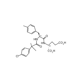 Cc1ccc(C[C@H](NC(=O)C(C)(C)c2ccc(Cl)cc2)C(=O)N[C@H](CCC(=O)O)C(=O)O)cc1